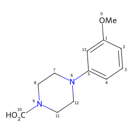 COc1cccc(N2CCN(C(=O)O)CC2)c1